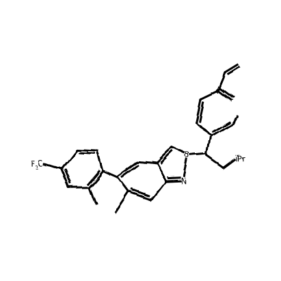 C=CC(=C)/C=C\C(=C/C)C(CC(C)C)B1C=c2cc(-c3ccc(C(F)(F)F)cc3C)c(C)cc2=N1